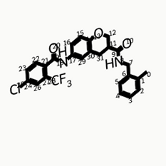 Cc1ccccc1CNC(=O)C1COc2ccc(NC(=O)c3ccc(Cl)cc3C(F)(F)F)cc2C1